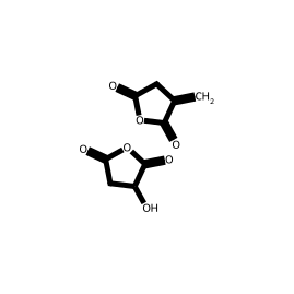 C=C1CC(=O)OC1=O.O=C1CC(O)C(=O)O1